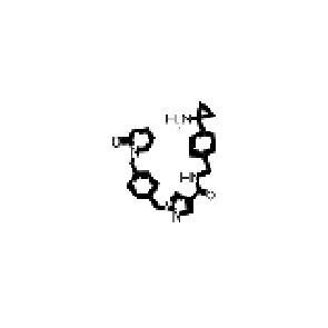 NC1(c2ccc(CNC(=O)c3cnn(Cc4ccc(Cn5ccccc5=O)cc4)c3)cc2)CC1